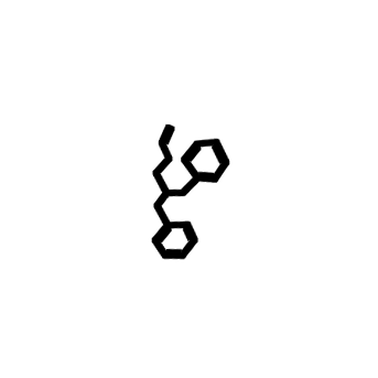 C=CCC[C](Cc1ccccc1)Cc1ccccc1